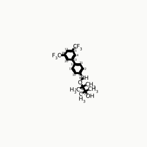 CC(C)(O)C(C)(C)OBc1ccc(-c2cc(C(F)(F)F)cc(C(F)(F)F)c2)cc1